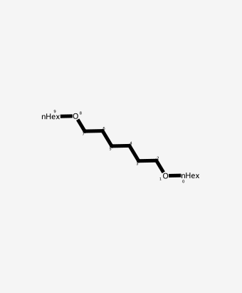 CCCCCCOCCCCCCOCCCCCC